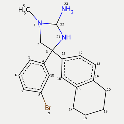 CN1CC(c2cccc(Br)c2)(c2ccc3c(c2)CCCC3)NC1N